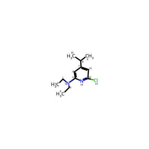 CCN(CC)c1cc(C(C)C)cc(Cl)n1